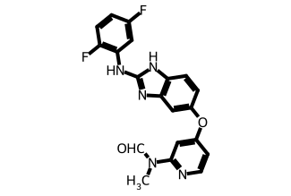 CN(C=O)c1cc(Oc2ccc3[nH]c(Nc4cc(F)ccc4F)nc3c2)ccn1